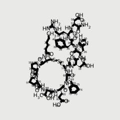 CCCCCC(=O)N[C@H]1CSSC[C@@H](C(=O)N[C@@H](CC(=O)O)C(=O)N[C@@H](Cc2c[nH]cn2)C(=O)N[C@@H](Cc2ccccc2)C(=O)N[C@@H](CCCNC(=N)N)C(=O)N[C@@H](CC(=O)O)C(N)=O)NC(=O)[C@H](Cc2ccccc2)NC(=O)[C@H](CCC(=O)O)NC(=O)[C@H]([C@@H](C)O)NC(=O)[C@@H]2CCCN2C(=O)[C@@H]2CCCN2C1=O